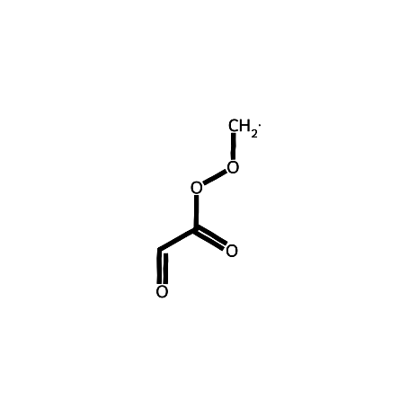 [CH2]OOC(=O)C=O